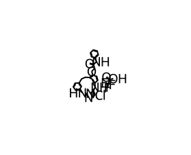 O=C(COc1ccc2cc1CCc1cccc(c1)Nc1ncc(Cl)c(n1)N2)Nc1ccccc1.O=C(O)C(F)(F)F